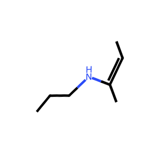 C/C=C(/C)NCCC